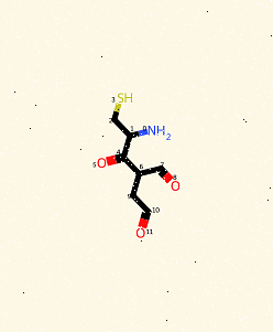 NC(CS)C(=O)C([C]=O)C[C]=O